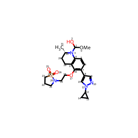 COC(O)N1c2ccc(-c3cnn(C4CC4)c3)c(OCCN3CCCS3(=O)=O)c2CC[C@@H]1C